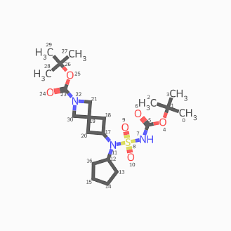 CC(C)(C)OC(=O)NS(=O)(=O)N(C1CCCC1)C1CC2(C1)CN(C(=O)OC(C)(C)C)C2